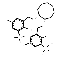 CC(C)(C)c1cc(CS[C@H]2CCCCCC[C@@H]2SCc2cc(C(C)(C)C)cc([Si](C)(C)C(C)(C)C)c2O)c(O)c([Si](C)(C)C(C)(C)C)c1